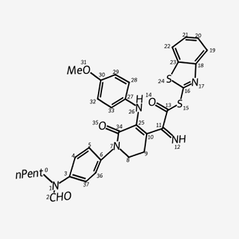 CCCCCN(C=O)c1ccc(N2CCC(C(=N)C(=O)Sc3nc4ccccc4s3)=C(Nc3ccc(OC)cc3)C2=O)cc1